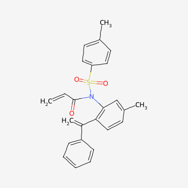 C=CC(=O)N(c1cc(C)ccc1C(=C)c1ccccc1)S(=O)(=O)c1ccc(C)cc1